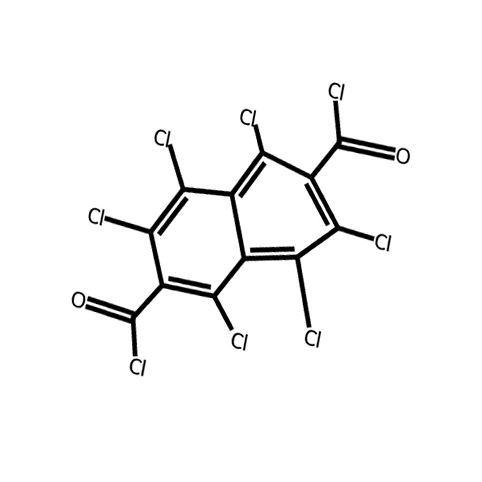 O=C(Cl)c1c(Cl)c(Cl)c2c(Cl)c(C(=O)Cl)c(Cl)c(Cl)c2c1Cl